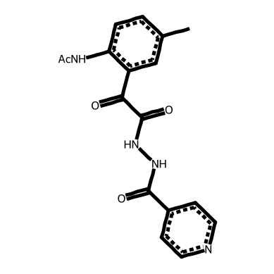 CC(=O)Nc1ccc(C)cc1C(=O)C(=O)NNC(=O)c1ccncc1